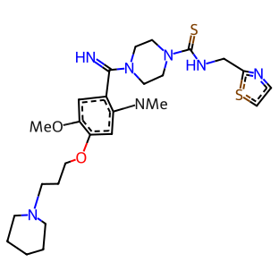 CNc1cc(OCCCN2CCCCC2)c(OC)cc1C(=N)N1CCN(C(=S)NCc2nccs2)CC1